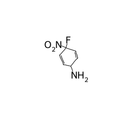 NC1C=CC(F)([N+](=O)[O-])C=C1